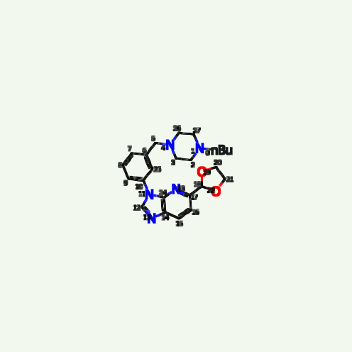 CCCCN1CCN(Cc2cccc(-n3cnc4ccc(C5OCCO5)nc43)c2)CC1